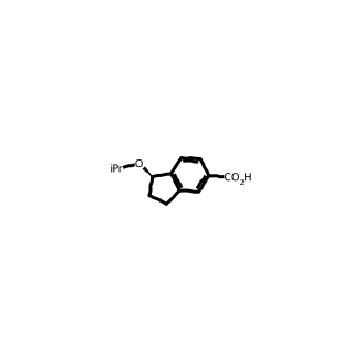 CC(C)O[C@@H]1CCc2cc(C(=O)O)ccc21